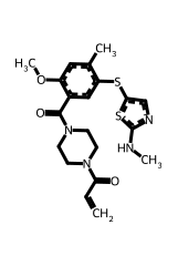 C=CC(=O)N1CCN(C(=O)c2cc(Sc3cnc(NC)s3)c(C)cc2OC)CC1